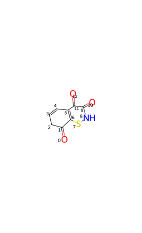 O=C1CC=Cc2c1s[nH]c(=O)c2=O